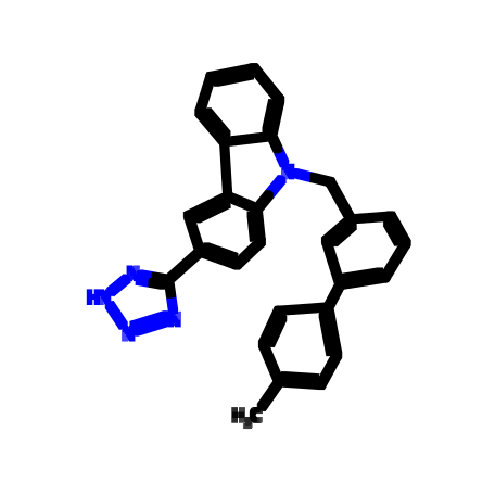 Cc1ccc(-c2cccc(Cn3c4ccccc4c4cc(-c5nn[nH]n5)ccc43)c2)cc1